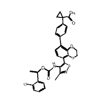 Cc1noc(-c2ccc(-c3ccc(C4(C(=O)O)CC4)cc3)c3c2OCCO3)c1NC(=O)OC(C)c1ccccc1Cl